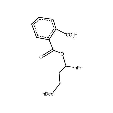 CCCCCCCCCCCCC(CCC)OC(=O)c1ccccc1C(=O)O